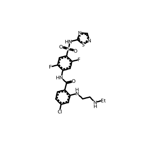 CCNCCNc1cc(Cl)ccc1C(=O)Nc1cc(F)c(S(=O)(=O)Nc2ncns2)cc1F